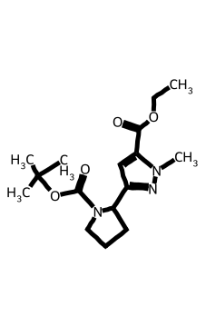 CCOC(=O)c1cc(C2CCCN2C(=O)OC(C)(C)C)nn1C